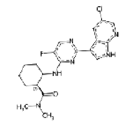 CN(C)C(=O)[C@H]1CCCCC1Nc1nc(-c2c[nH]c3ncc(Cl)cc23)ncc1F